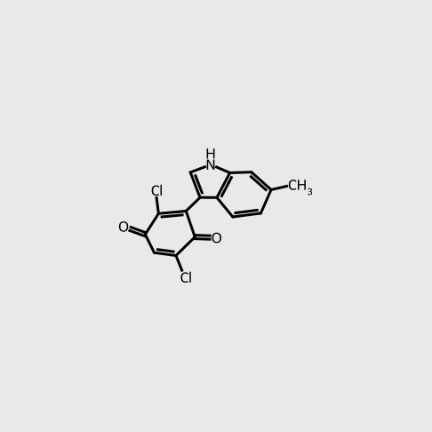 Cc1ccc2c(C3=C(Cl)C(=O)C=C(Cl)C3=O)c[nH]c2c1